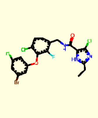 CCc1nc(Cl)c(C(=O)NCc2ccc(Cl)c(Oc3cc(Cl)cc(Br)c3)c2F)[nH]1